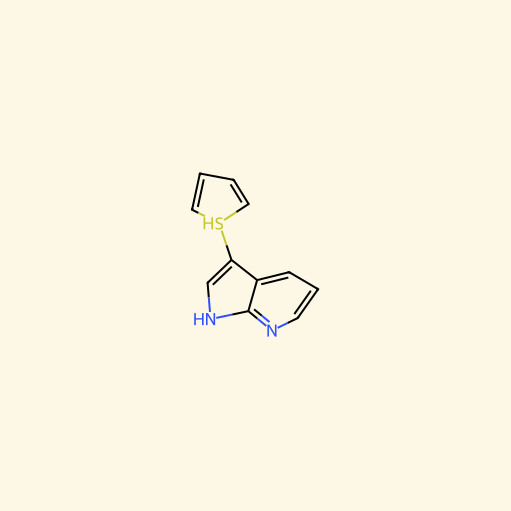 C1=C[SH](c2c[nH]c3ncccc23)C=C1